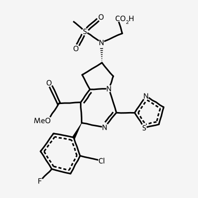 COC(=O)C1=C2C[C@H](N(CC(=O)O)S(C)(=O)=O)CN2C(c2nccs2)=N[C@H]1c1ccc(F)cc1Cl